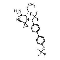 CCC[C@@H](C(N)=O)N([C@@H](c1ccc(-c2ccc(OC(F)(F)F)cc2)cc1)C(F)(F)F)C1(C#N)CC1